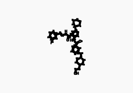 O=C(Nc1ccc(N2CCCCC2)cc1C(=O)NN=Cc1cccc(F)c1)c1cccc(CN2CCN(CCO)CC2)c1